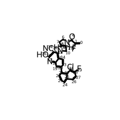 C=C(F)C(=O)N1CC[C@@H]2[C@H]1CN2c1c(C#N)c(O)nc2cc(-c3cccc4ccc(F)c(Cl)c34)ccc12